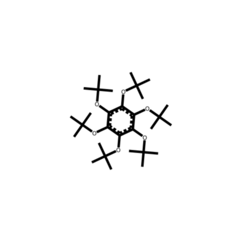 CC(C)(C)Oc1c(OC(C)(C)C)c(OC(C)(C)C)c(OC(C)(C)C)c(OC(C)(C)C)c1OC(C)(C)C